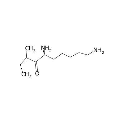 CCC(C)C(=O)[C@@H](N)CCCCCN